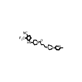 Cc1ccc(N2CCN(CCCC(=O)N3CCC(Nc4ccc(C#N)c(C(F)(F)F)c4)CC3)CC2)cn1